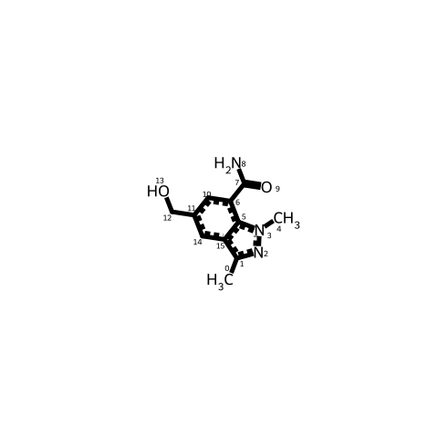 Cc1nn(C)c2c(C(N)=O)cc(CO)cc12